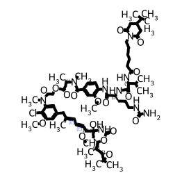 COc1cc(C(=O)N(C)[C@@H](C)C(=O)OCC(=O)N(C)c2cc(C/C(C)=C/C=C/[C@@H](OC)[C@@]3(O)C[C@@H]([C@@H](C)[C@@H]4OC4(C)C)OC(=O)N3)cc(OC)c2Cl)ccc1NC(=O)[C@H](CCCNC(N)=O)NC(=O)[C@@H](NC(=O)CCCCCN1C(=O)CC(C(C)(C)C)CC1=O)C(C)C